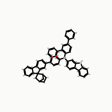 c1ccc(-c2ccc(N(c3ccc(-c4ccc5c(c4)C4(CC6CCC4C6)c4ccccc4-5)cc3)c3ccc4c(c3)oc3ccccc34)c(-c3ccccc3)c2)cc1